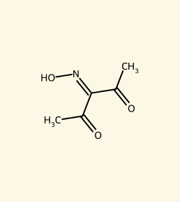 CC(=O)C(=NO)C(C)=O